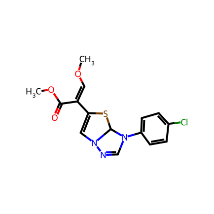 COC=C(C(=O)OC)C1=CN2N=CN(c3ccc(Cl)cc3)C2S1